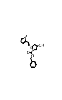 Cn1cncc1C=C[C@@H]1C[C@@H](O)CN1C(=O)OCc1ccccc1